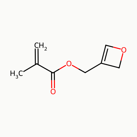 C=C(C)C(=O)OCC1=COC1